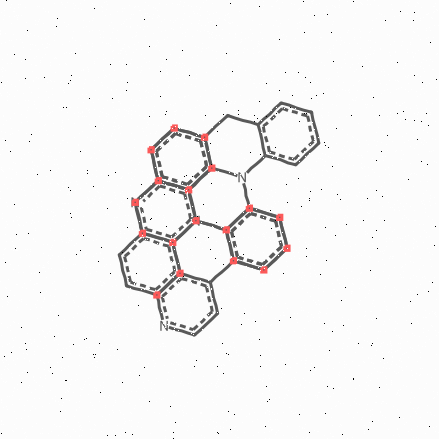 c1ccc2c(c1)Cc1ccccc1N2c1ccccc1-c1ccncc1-c1cnccc1-c1ccccc1N1c2ccccc2Cc2ccccc21